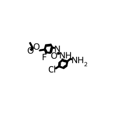 CC(=O)OCc1ccc2nc(Nc3cc(Cl)ccc3CN)oc2c1F